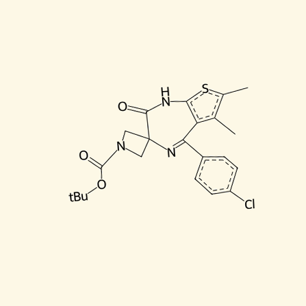 Cc1sc2c(c1C)C(c1ccc(Cl)cc1)=NC1(CN(C(=O)OC(C)(C)C)C1)C(=O)N2